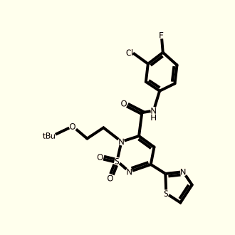 CC(C)(C)OCCN1C(C(=O)Nc2ccc(F)c(Cl)c2)=CC(c2nccs2)=NS1(=O)=O